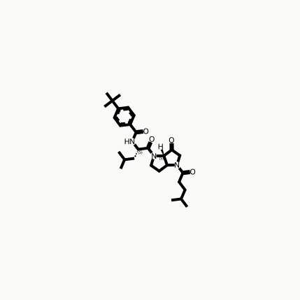 CC(C)CCC(=O)N1CC(=O)[C@@H]2C1CCN2C(=O)[C@H](CC(C)C)NC(=O)c1ccc(C(C)(C)C)cc1